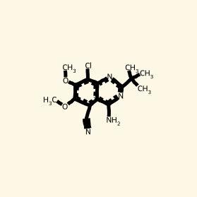 COc1c(OC)c(C#N)c2c(N)nc(C(C)(C)C)nc2c1Cl